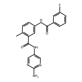 Cc1ccc(NC(=O)c2cccc(F)c2)cc1C(=O)Nc1cnc(N)nc1